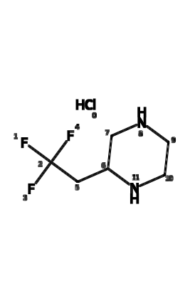 Cl.FC(F)(F)CC1CNCCN1